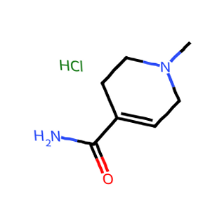 CN1CC=C(C(N)=O)CC1.Cl